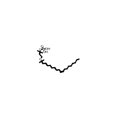 CCCCCCCC/C=C\CCCCCCCCC(C)(C)OCCC(C)(C)OP(=O)(O)O